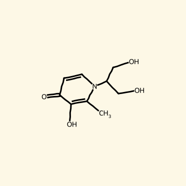 Cc1c(O)c(=O)ccn1C(CO)CO